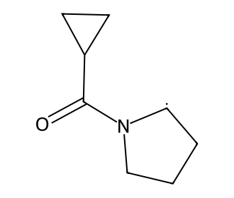 O=C(C1CC1)N1[CH]CCC1